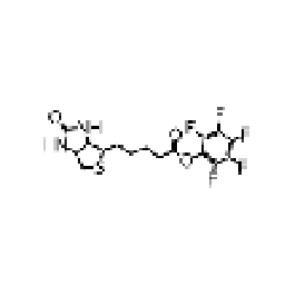 O=C1NC2CSC(CCCCC(=O)Oc3c(F)c(F)c(F)c(F)c3F)C2N1